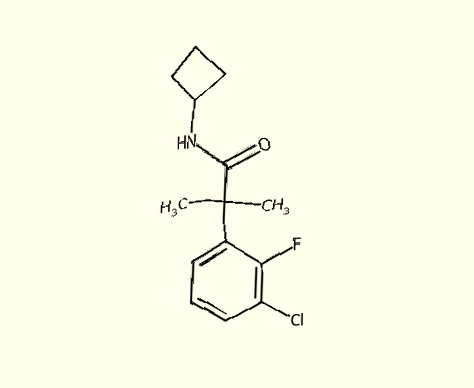 CC(C)(C(=O)NC1CCC1)c1cccc(Cl)c1F